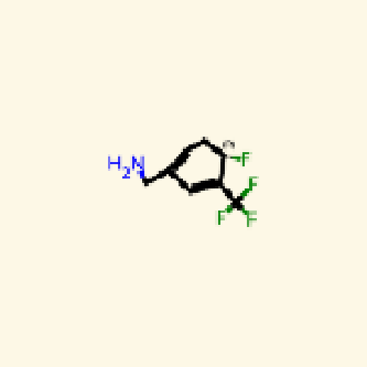 NCC1=CC[C@@H](F)C(C(F)(F)F)=C1